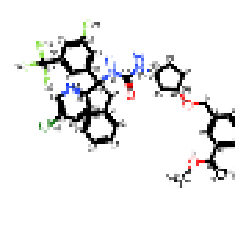 C=C(OC)c1cccc(CO[C@@H]2CC[C@@H](NC(=O)N[C@@](Cc3ccccc3)(c3cc(F)cc(C(F)(F)F)c3)c3ccc(Cl)cn3)C2)c1